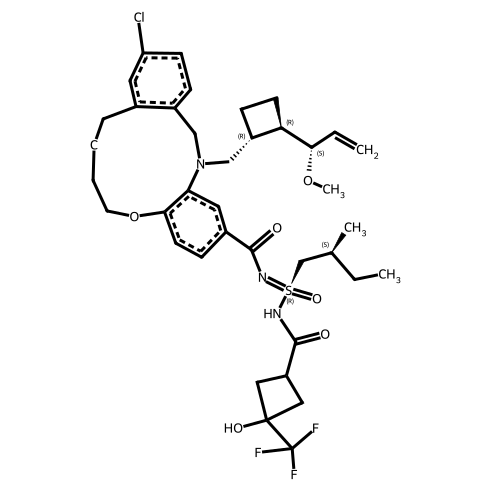 C=C[C@H](OC)[C@@H]1CC[C@H]1CN1Cc2ccc(Cl)cc2CCCCOc2ccc(C(=O)N=[S@@](=O)(C[C@@H](C)CC)NC(=O)C3CC(O)(C(F)(F)F)C3)cc21